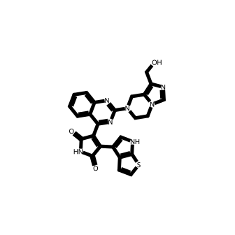 O=C1NC(=O)C(c2c[nH]c3sccc23)=C1c1nc(N2CCn3cnc(CO)c3C2)nc2ccccc12